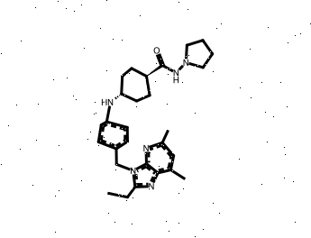 CCc1nc2c(C)cc(C)nc2n1Cc1ccc(N[C@H]2CC[C@H](C(=O)NN3CCCC3)CC2)cc1